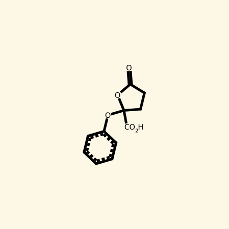 O=C1CCC(Oc2ccccc2)(C(=O)O)O1